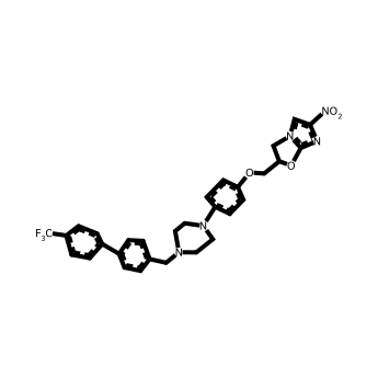 O=[N+]([O-])c1cn2c(n1)OC(COc1ccc(N3CCN(Cc4ccc(-c5ccc(C(F)(F)F)cc5)cc4)CC3)cc1)C2